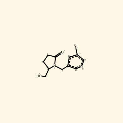 O=C1CCC(CO)N1Cc1cncc(Br)c1